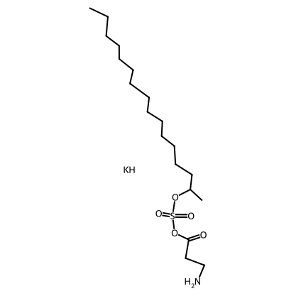 CCCCCCCCCCCCCCC(C)OS(=O)(=O)OC(=O)CCN.[KH]